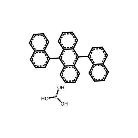 OB(O)O.c1ccc2c(-c3c4ccccc4c(-c4cccc5ccccc45)c4ccccc34)cccc2c1